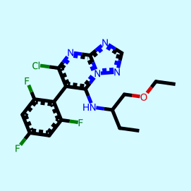 CCOCC(CC)Nc1c(-c2c(F)cc(F)cc2F)c(Cl)nc2ncnn12